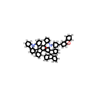 c1ccc(N(c2ccc(-c3ccc4oc5ccccc5c4c3)cc2)c2cccc3c2-c2ccccc2C32c3ccccc3-c3ccccc32)c(-c2ccc3c(c2)C2(c4ccccc4-3)c3ccccc3-n3c4ccccc4c4cccc2c43)c1